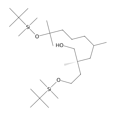 CC(CCCC(C)(C)O[Si](C)(C)C(C)(C)C)C[C@](C)(CO)CCO[Si](C)(C)C(C)(C)C